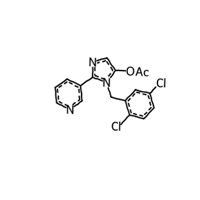 CC(=O)Oc1cnc(-c2cccnc2)n1Cc1cc(Cl)ccc1Cl